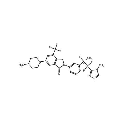 CN1CCN(c2cc3c(c(C(F)(F)F)c2)CN(c2cccc([C@@](C)(F)C(F)(F)c4nncn4C)c2)C3=O)CC1